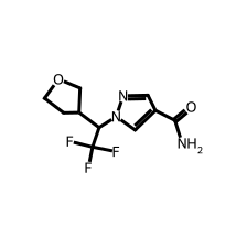 NC(=O)c1cnn(C(C2CCOC2)C(F)(F)F)c1